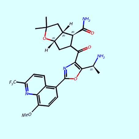 COc1ccc(-c2nc(C(=O)C3C[C@@H]4OC(C)(C)C[C@@H]4[C@H]3C(N)=O)c([C@H](C)N)o2)c2ccc(C(F)(F)F)nc12